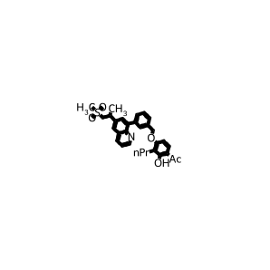 CCCc1c(OCc2cccc(-c3cc(C(C)CS(C)(=O)=O)cc4cccnc34)c2)ccc(C(C)=O)c1O